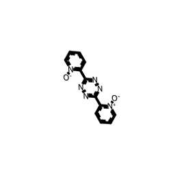 [O-][n+]1ccccc1-c1nnc(-c2cccc[n+]2[O-])nn1